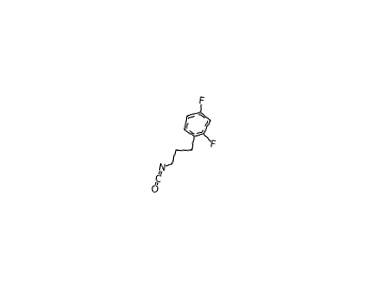 O=C=NCCCc1ccc(F)cc1F